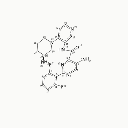 Nc1cnc(-c2c(F)cccc2F)nc1C(=O)Nc1cnccc1N1CCC[C@H](N)C1